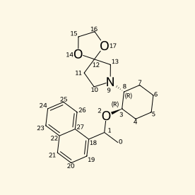 CC(O[C@@H]1CCCC[C@H]1N1CCC2(C1)OCCO2)c1cccc2ccccc12